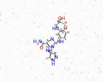 NC(=O)c1cnc(Nc2ccc3c(c2)NC[C@H](O)CO3)nc1Nc1cn[nH]c1